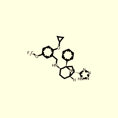 FC(F)(F)Oc1ccc(OC2CC2)c(CN[C@@H]2CC[C@@H]3N[C@@]2(c2ccccc2)C[C@@H]3c2nnn[nH]2)c1